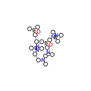 c1ccc(B2c3ccccc3Oc3cc(-c4ccc(N5B6c7ccccc7-c7ccc(-c8cccc(N(c9ccccc9)c9ccc%10c(c9)c9ccccc9n%10-c9ccc%10c(c9)Oc9cc(N%11B%12c%13ccccc%13-c%13ccccc%13N%12c%12ccccc%12%11)ccc9B%10c9ccccc9)c8)cc7N6c6ccccc65)cc4)ccc32)cc1